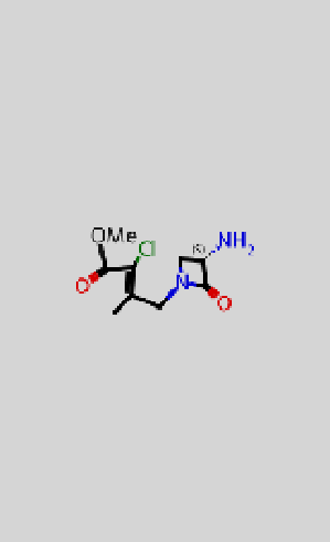 COC(=O)C(Cl)=C(C)CN1C[C@H](N)C1=O